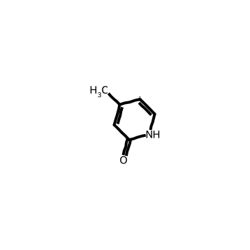 Cc1[c]c[nH]c(=O)c1